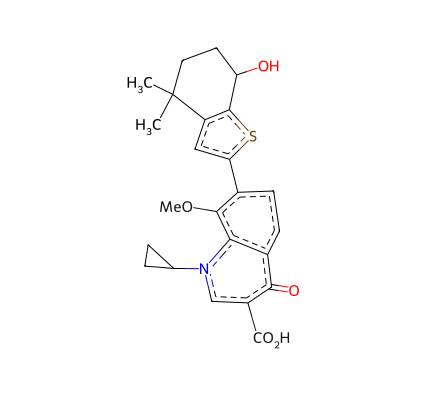 COc1c(-c2cc3c(s2)C(O)CCC3(C)C)ccc2c(=O)c(C(=O)O)cn(C3CC3)c12